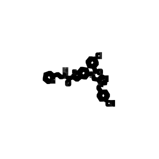 N#Cc1ccc(Cn2cncc2CN(C(=O)c2cccc(Cl)c2)c2ccc3sc(C(=O)NCCc4ccccn4)cc3c2)cc1